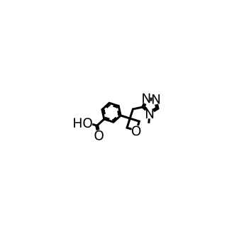 Cn1cnnc1CC1(c2cccc(C(=O)O)c2)COC1